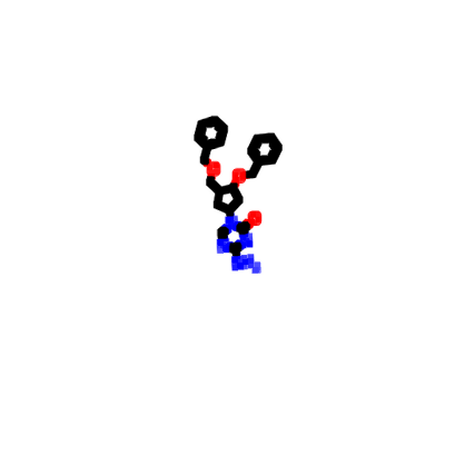 Nc1ncn(C2CC(COCc3ccccc3)C(OCc3ccccc3)C2)c(=O)n1